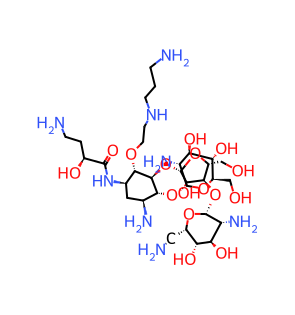 NCCCNCCO[C@@H]1[C@@H](O[C@@H]2O[C@H](CO)[C@@H](O[C@H]3O[C@@H](CN)[C@@H](O)[C@H](O)[C@H]3N)[C@H]2O)[C@H](O[C@H]2O[C@H](CO)[C@@H](O)[C@H](O)[C@H]2N)[C@@H](N)C[C@H]1NC(=O)[C@@H](O)CCN